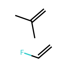 C=C(C)C.C=CF